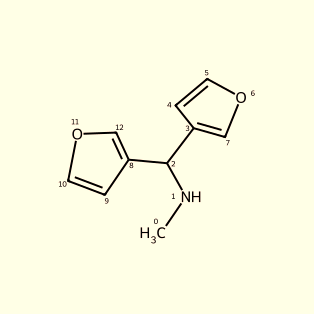 CNC(c1ccoc1)c1ccoc1